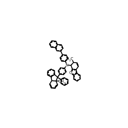 CC1C=Cc2c(oc3ccccc23)C1N(c1ccc(-c2ccc3ccccc3c2)cc1)c1ccc(C2(c3ccccc3)c3ccccc3C3C=CC=CC32C)cc1